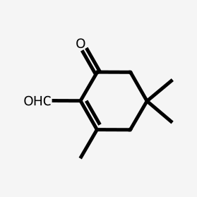 CC1=C(C=O)C(=O)CC(C)(C)C1